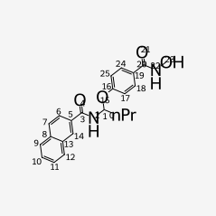 CCCC(NC(=O)c1ccc2ccccc2c1)Oc1ccc(C(=O)NO)cc1